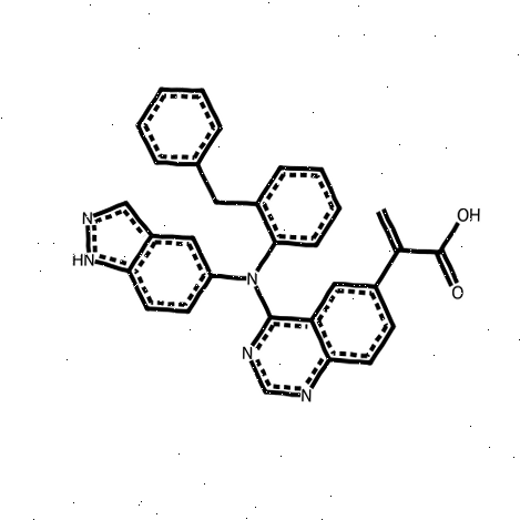 C=C(C(=O)O)c1ccc2ncnc(N(c3ccc4[nH]ncc4c3)c3ccccc3Cc3ccccc3)c2c1